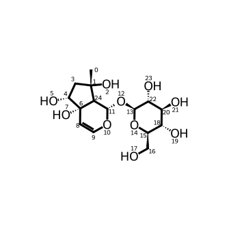 C[C@]1(O)C[C@@H](O)[C@]2(O)C=CO[C@@H](O[C@@H]3O[C@H](CO)[C@@H](O)[C@H](O)[C@H]3O)C12